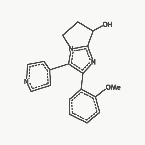 COc1ccccc1-c1nc2n(c1-c1ccncc1)CCC2O